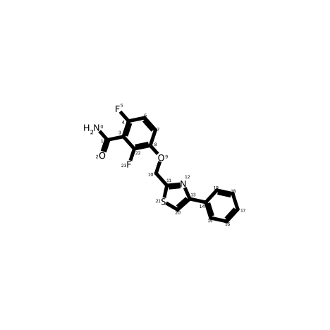 NC(=O)c1c(F)ccc(OCc2nc(-c3ccccc3)cs2)c1F